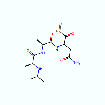 C=[SH]C(=O)C(CC(N)=O)NC(=O)[C@H](C)NC(=O)[C@H](C)NC(C)C